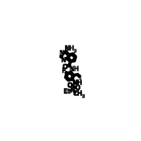 CCN(C)S(=O)(=O)Nc1ccc(F)c(NC(=O)c2cccc3c(N)ncnc23)c1CI